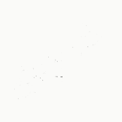 Cl.Cl.Clc1cc(Cl)cc(OCCCN2CCC(Nc3cccc4ccccc34)CC2)c1